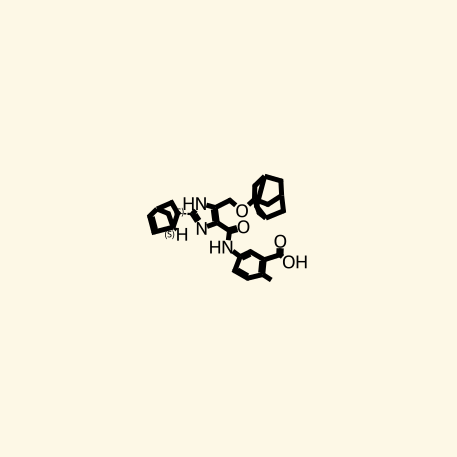 Cc1ccc(NC(=O)c2nc([C@H]3CC4C=C[C@@H]3C4)[nH]c2COC23CC4CC(CC(C4)C2)C3)cc1C(=O)O